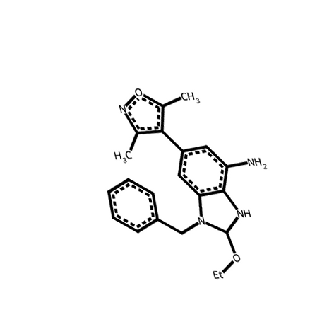 CCOC1Nc2c(N)cc(-c3c(C)noc3C)cc2N1Cc1ccccc1